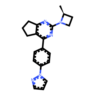 C[C@H]1CCN1c1nc2c(c(-c3ccc(-n4cccn4)cc3)n1)CCC2